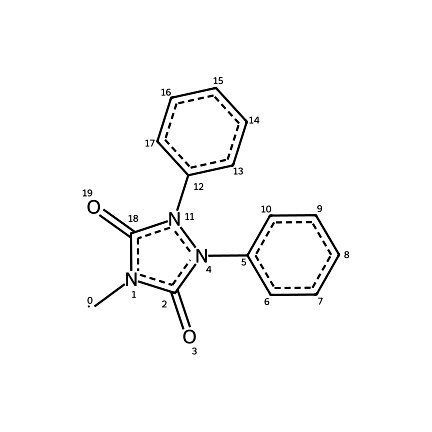 [CH2]n1c(=O)n(-c2ccccc2)n(-c2ccccc2)c1=O